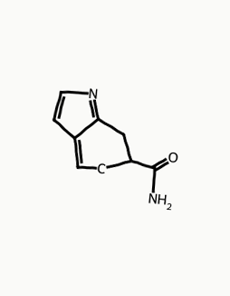 NC(=O)C1CC=C2C=CN=C2C1